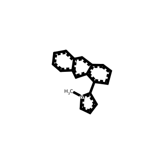 Cn1cccc1-c1cccc2cc3ccccc3cc12